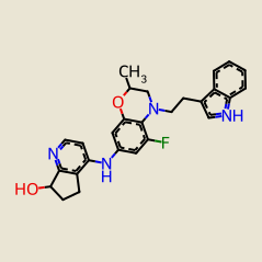 CC1CN(CCc2c[nH]c3ccccc23)c2c(F)cc(Nc3ccnc4c3CCC4O)cc2O1